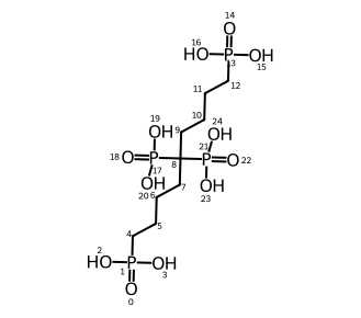 O=P(O)(O)CCCCC(CCCCP(=O)(O)O)(P(=O)(O)O)P(=O)(O)O